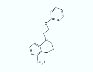 O=C(O)c1cccc2c1CCCN2CCOc1ccccc1